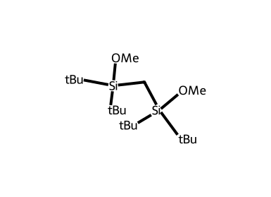 CO[Si](C[Si](OC)(C(C)(C)C)C(C)(C)C)(C(C)(C)C)C(C)(C)C